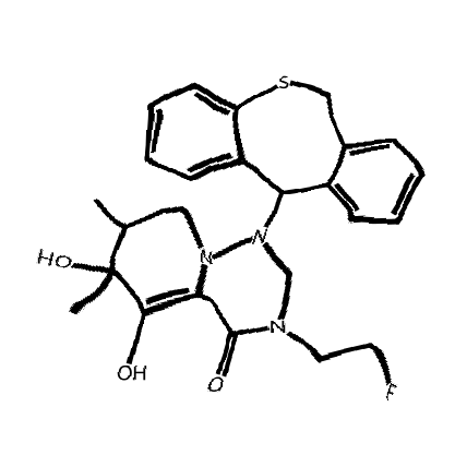 CC1CN2C(=C(O)C1(C)O)C(=O)N(CCF)CN2C1c2ccccc2CSc2ccccc21